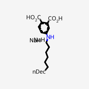 CCCCCCCCCCCCCCCCNc1ccc(C(=O)O)c(C(=O)O)c1.[NaH].[NaH]